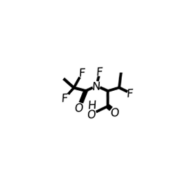 CC(F)C(C(=O)O)N(F)C(=O)C(C)(F)F